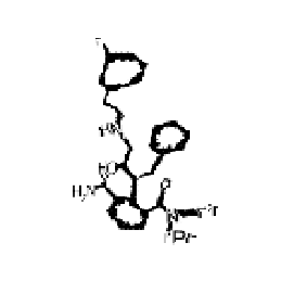 CCCN(CCC)C(=O)c1cccc(C(N)=O)c1[C@H](Cc1ccccc1)[C@@H](O)CNCCc1cccc(F)c1